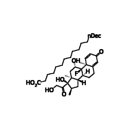 CCCCCCCCCCCCCCCCCCCCCC(=O)O.C[C@@H]1C[C@H]2[C@@H]3CCC4=CC(=O)C=C[C@]4(C)[C@@]3(F)[C@@H](O)C[C@]2(C)[C@@]1(O)C(=O)CO